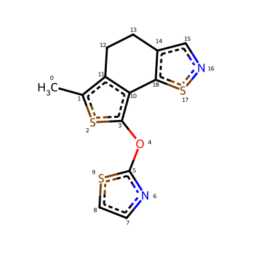 Cc1sc(Oc2nccs2)c2c1CCc1cnsc1-2